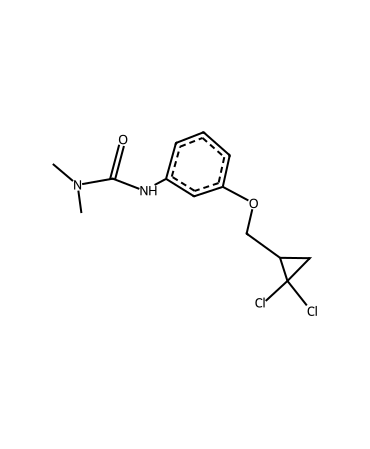 CN(C)C(=O)Nc1cccc(OCC2CC2(Cl)Cl)c1